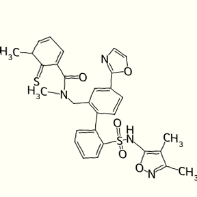 Cc1noc(NS(=O)(=O)c2ccccc2-c2ccc(-c3ncco3)cc2CN(C)C(=O)C2=CC=CC(C)C2=S)c1C